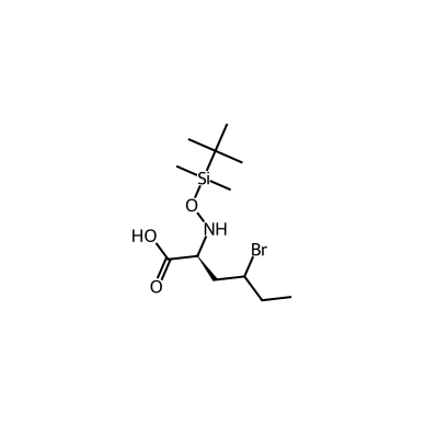 CCC(Br)C[C@H](NO[Si](C)(C)C(C)(C)C)C(=O)O